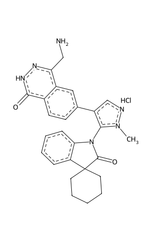 Cl.Cn1ncc(-c2ccc3c(=O)[nH]nc(CN)c3c2)c1N1C(=O)C2(CCCCC2)c2ccccc21